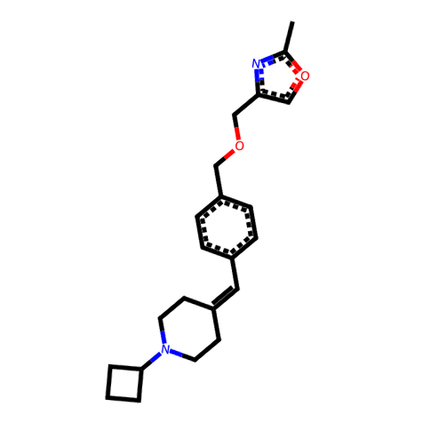 Cc1nc(COCc2ccc(C=C3CCN(C4CCC4)CC3)cc2)co1